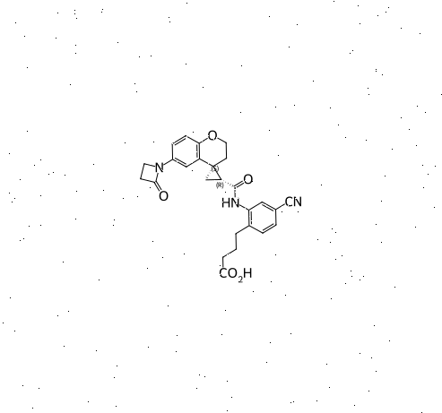 N#Cc1ccc(CCCC(=O)O)c(NC(=O)[C@@H]2C[C@]23CCOc2ccc(N4CCC4=O)cc23)c1